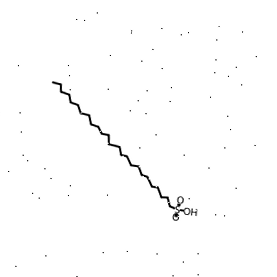 CCCCCCCCCCCCCCCCCCCCCCCCCS(=O)(=O)O